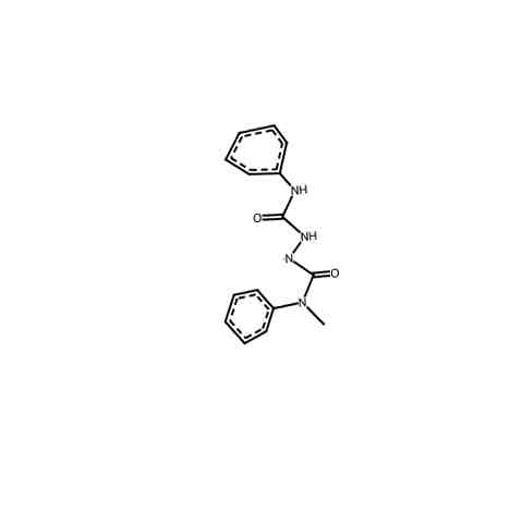 CN(C(=O)[N]NC(=O)Nc1ccccc1)c1ccccc1